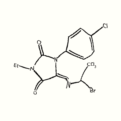 CCN1C(=O)/C(=N/C(Br)C(Cl)(Cl)Cl)N(c2ccc(Cl)cc2)C1=O